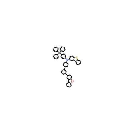 c1ccc(C2(c3ccccc3)c3ccccc3-c3cc(N(c4ccc(-c5cccc(-c6ccc7oc8ccccc8c7c6)c5)cc4)c4ccc5sc6ccccc6c5c4)ccc32)cc1